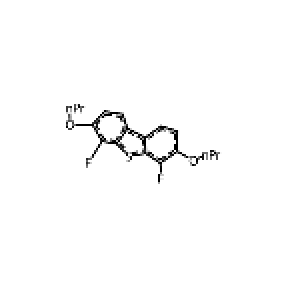 CCCOc1ccc2c(sc3c(F)c(OCCC)ccc32)c1F